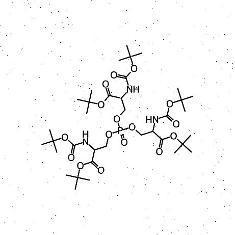 CC(C)(C)OC(=O)NC(COP(=O)(OCC(NC(=O)OC(C)(C)C)C(=O)OC(C)(C)C)OCC(NC(=O)OC(C)(C)C)C(=O)OC(C)(C)C)C(=O)OC(C)(C)C